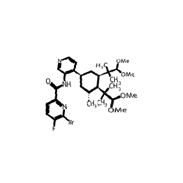 COC(OC)C(C)(C)[C@H]1[C@H](C)C[C@@H](c2ccncc2NC(=O)c2ccc(F)c(Br)n2)C[C@H]1C(C)(C)C(OC)OC